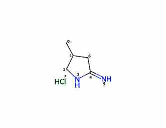 CC1CNC(=N)C1.Cl